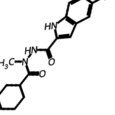 CN(NC(=O)c1cc2cc(Cl)ccc2[nH]1)C(=O)C1CCCCC1